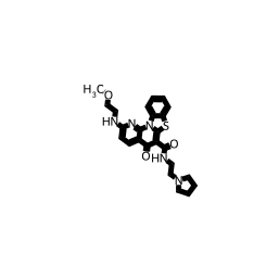 COCCNc1ccc2c(=O)c(C(=O)NCCN3CCCC3)c3sc4ccccc4n3c2n1